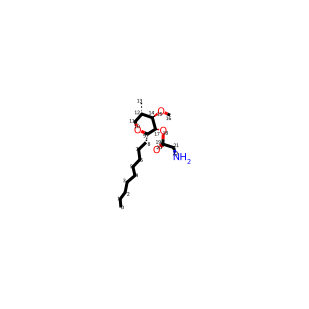 CCCCCCCCC[C@@H]1OC[C@H](C)[C@@H](OC)[C@@H]1OC(=O)CN